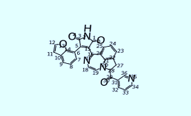 O=C1NC(=O)C(c2cccc3ccoc23)=C1C1=NC=CN2c3c(cccc31)CC2C(=O)c1cccnc1